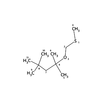 CSCOC(C)(C)CC(C)(C)C